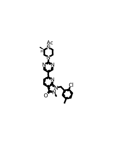 CC(=O)N1CCN(c2ncc(-c3ccc4c(=O)n(C)n(Cc5cc(C)ccc5Cl)c4n3)cn2)C[C@H]1C